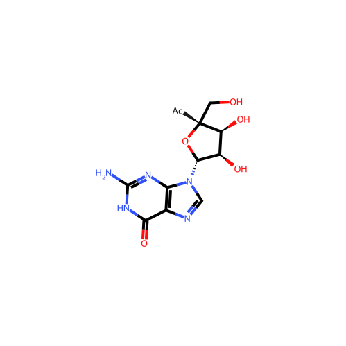 CC(=O)[C@]1(CO)O[C@@H](n2cnc3c(=O)[nH]c(N)nc32)[C@H](O)[C@@H]1O